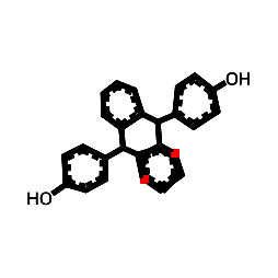 Oc1ccc(C(c2ccccc2)c2ccccc2C(c2ccccc2)c2ccc(O)cc2)cc1